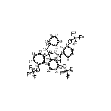 FC(F)(F)Oc1cccc(NCC(Cc2ccccc2)(c2cccc(OC(F)(F)F)c2)c2cccc(OC(F)(F)F)c2)c1